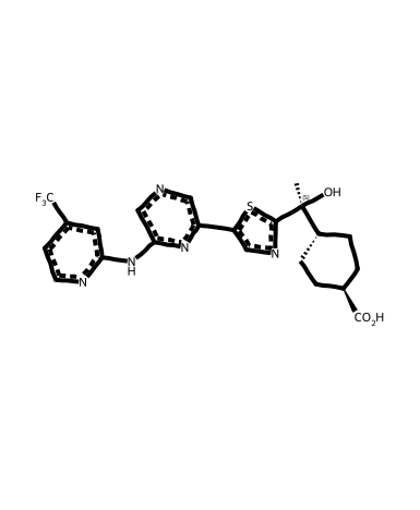 C[C@@](O)(c1ncc(-c2cncc(Nc3cc(C(F)(F)F)ccn3)n2)s1)[C@H]1CC[C@H](C(=O)O)CC1